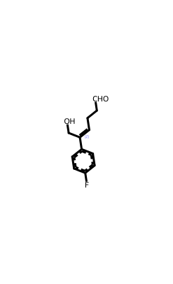 O=CCC/C=C(\CO)c1ccc(F)cc1